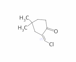 CC1(C)CCC(=O)/C(=C\Cl)C1